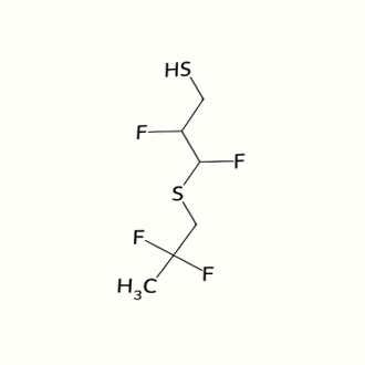 CC(F)(F)CSC(F)C(F)CS